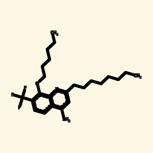 CCCCCCCCc1cc(N)c2ccc(C(F)(F)F)c(OCCCCCC)c2n1